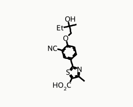 CCC(C)(O)COc1ccc(-c2nc(C)c(C(=O)O)s2)cc1C#N